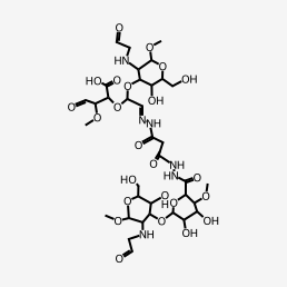 COC(C=O)C(OC(/C=N/NC(=O)CC(=O)NNC(=O)C1OC(OC2C(O)C(CO)OC(OC)C2NCC=O)C(O)C(O)C1OC)OC1C(O)C(CO)OC(OC)C1NCC=O)C(=O)O